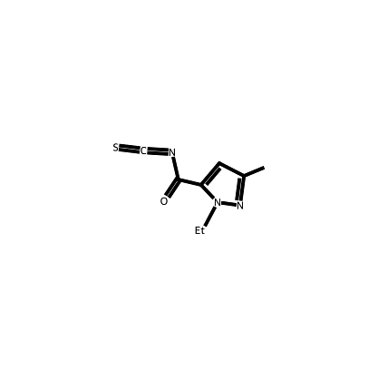 CCn1nc(C)cc1C(=O)N=C=S